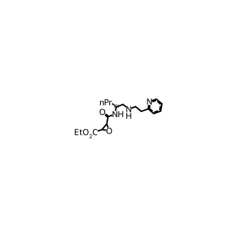 CCC[C@@H](CNCCc1ccccn1)NC(=O)C1OC1C(=O)OCC